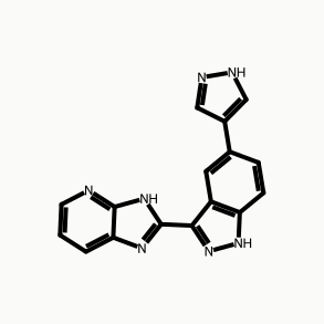 c1cnc2[nH]c(-c3n[nH]c4ccc(-c5cn[nH]c5)cc34)nc2c1